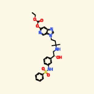 CCOC(=O)Oc1cc2ncn(CCC(C)(C)NC[C@H](O)c3cccc(NS(=O)(=O)c4ccccc4)c3)c2cn1